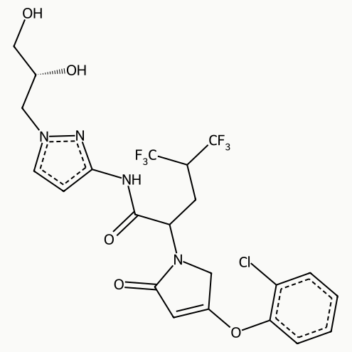 O=C(Nc1ccn(C[C@@H](O)CO)n1)C(CC(C(F)(F)F)C(F)(F)F)N1CC(Oc2ccccc2Cl)=CC1=O